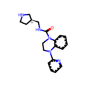 O=C(NC[C@H]1CCNC1)N1CCN(c2ccccn2)c2ccccc21